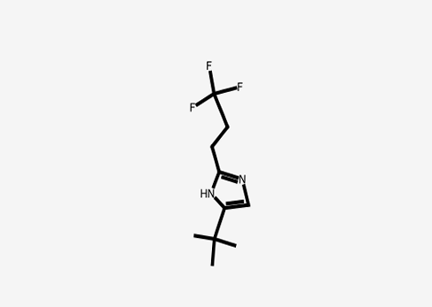 CC(C)(C)c1cnc(CCC(F)(F)F)[nH]1